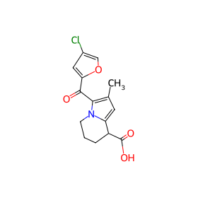 Cc1cc2n(c1C(=O)c1cc(Cl)co1)CCCC2C(=O)O